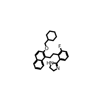 Fc1cccc(C2=NCCN2)c1CCc1c(OCC2CCCCC2)ccc2ccccc12